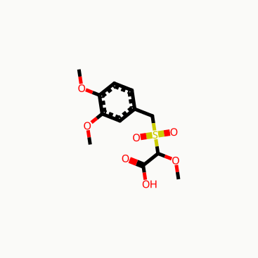 COc1ccc(CS(=O)(=O)C(OC)C(=O)O)cc1OC